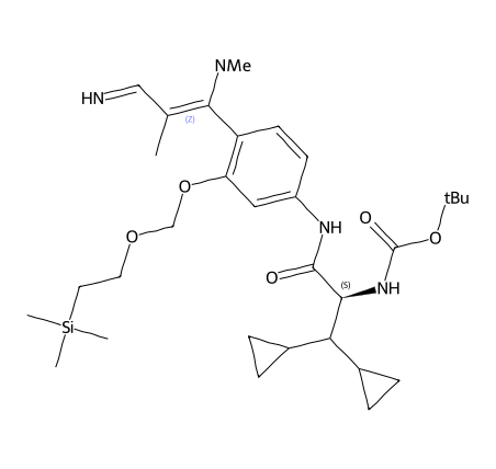 CN/C(=C(/C)C=N)c1ccc(NC(=O)[C@@H](NC(=O)OC(C)(C)C)C(C2CC2)C2CC2)cc1OCOCC[Si](C)(C)C